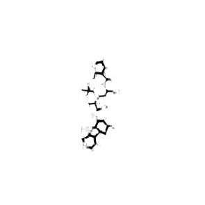 Cc1ncccc1C(=O)NC(CN1CC(C)(C)OCC1C(=O)Nc1cc(Cl)cc2c1[nH]c1cnccc12)C(C)C